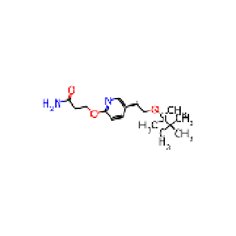 CC(C)(C)[Si](C)(C)OC[CH]c1ccc(OCCC(N)=O)nc1